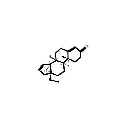 CC[C@@]12CC=C[C@H]1[C@@H]1CCC3=CC(=O)CC[C@@H]3[C@H]1CC2